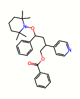 CC1(C)CCCC(C)(C)N1OC(CC(COC(=O)c1ccccc1)c1ccncc1)c1ccccc1